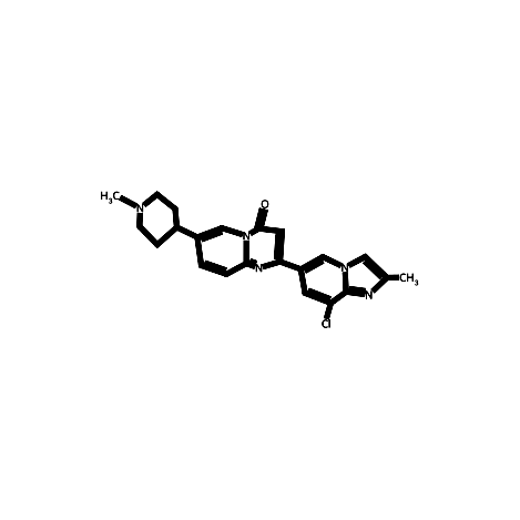 Cc1cn2cc(-c3cc(=O)n4cc(C5CCN(C)CC5)ccc4n3)cc(Cl)c2n1